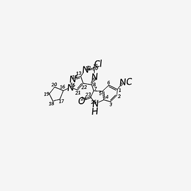 [C-]#[N+]c1ccc2c(c1)C(c1nc(Cl)nc3nn(C4CCCC4)cc13)C(=O)N2